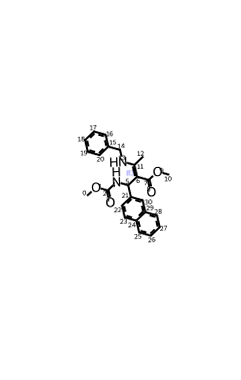 COC(=O)NC(/C(C(=O)OC)=C(/C)NCc1ccccc1)c1ccc2ccccc2c1